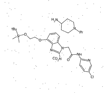 CC(C)(C)[Si](C)(C)OCCOc1cccc2c1nc(C(=O)O)n2CC(=O)Nc1ccc(Cl)cn1.CC(C)N1CCC(N)CC1